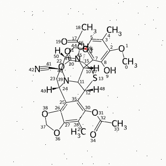 COc1c(C)cc2c(c1O)[C@@H]1C3[C@@H]4SC[C@@H](OC(C)=O)C(=O)OC[C@@H](c5c6c(c(C)c(OC(C)=O)c54)OCO6)N3[C@@H](C#N)[C@H](C2)N1C